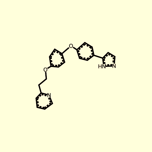 c1ccc(CCOc2ccc(Oc3ccc(-c4ccn[nH]4)cc3)cc2)nc1